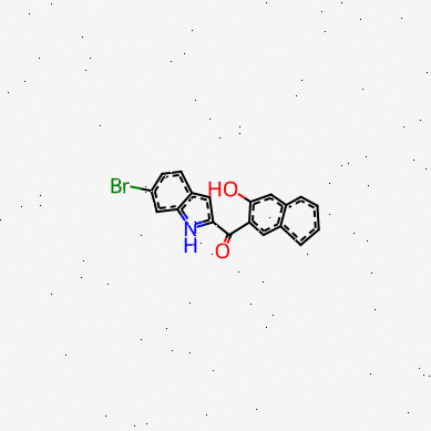 O=C(c1cc2ccc(Br)cc2[nH]1)c1cc2ccccc2cc1O